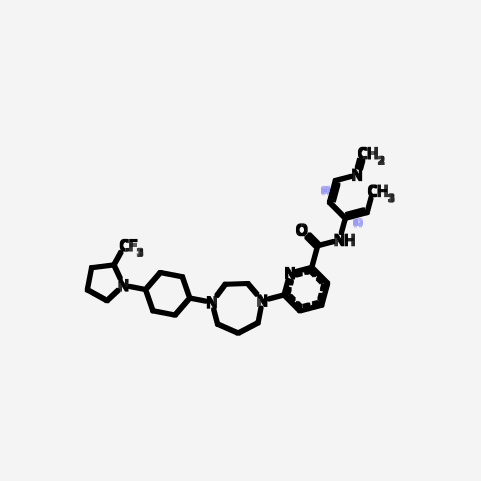 C=N/C=C\C(=C/C)NC(=O)c1cccc(N2CCCN(C3CCC(N4CCCC4C(F)(F)F)CC3)CC2)n1